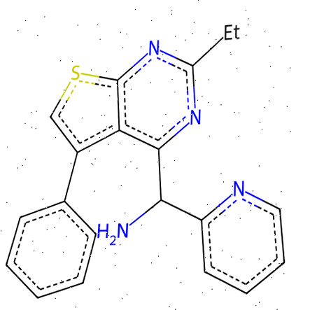 CCc1nc(C(N)c2ccccn2)c2c(-c3ccccc3)csc2n1